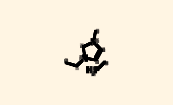 CCN1C=CN(C)C1.CP